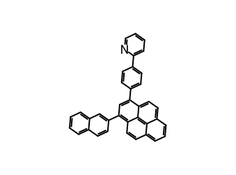 c1ccc(-c2ccc(-c3cc(-c4ccc5ccccc5c4)c4ccc5cccc6ccc3c4c65)cc2)nc1